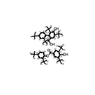 CC(C)(C)c1ccc(-c2c(C(=O)O)cc(C(C)(C)C)c(O)c2C(C)(C)C)c(C(C)(C)C)c1.CC(C)(C)c1ccc(OC(=O)c2cc(C(C)(C)C)c(O)c(C(C)(C)C)c2)c(C(C)(C)C)c1